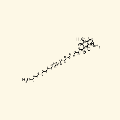 CCCCCCCCCCCCNCCCCCCCCCCC(O)n1c(=O)c2c(ncn2C)n(C)c1=O